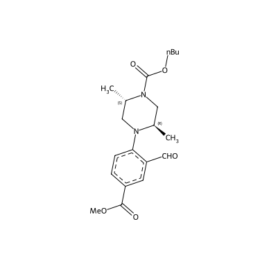 CCCCOC(=O)N1C[C@@H](C)N(c2ccc(C(=O)OC)cc2C=O)C[C@@H]1C